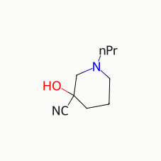 CCCN1CCCC(O)(C#N)C1